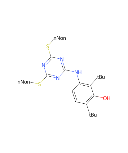 CCCCCCCCCSc1nc(Nc2ccc(C(C)(C)C)c(O)c2C(C)(C)C)nc(SCCCCCCCCC)n1